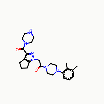 Cc1cccc(N2CCN(C(=O)Cn3nc(C(=O)N4CCNCC4)c4c3CCC4)CC2)c1C